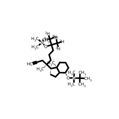 [2H]C([2H])([2H])C(CCC[C@](C)(CC#C)[C@H]1CCC2[C@@H](O[Si](C)(C)C(C)(C)C)CCC[C@@]21C)(O[Si](C)(C)C)C([2H])([2H])[2H]